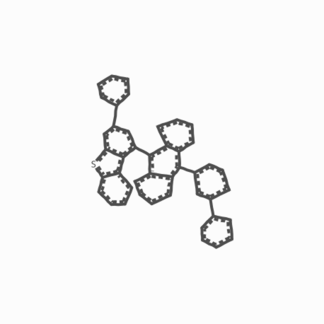 c1ccc(-c2cccc(-c3c4ccccc4c(-c4cc(-c5ccccc5)cc5sc6ccccc6c45)c4ccccc34)c2)cc1